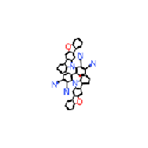 N#Cc1ccc(-c2ccc(C#N)c(C#N)c2-n2c3ccccc3c3cc4oc5ccccc5c4cc32)c(-n2c3ccccc3c3cc4oc5ccccc5c4cc32)c1C#N